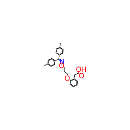 Cc1ccc(C(=NOCCCOc2ccccc2CC(=O)O)c2ccc(C)cc2)cc1